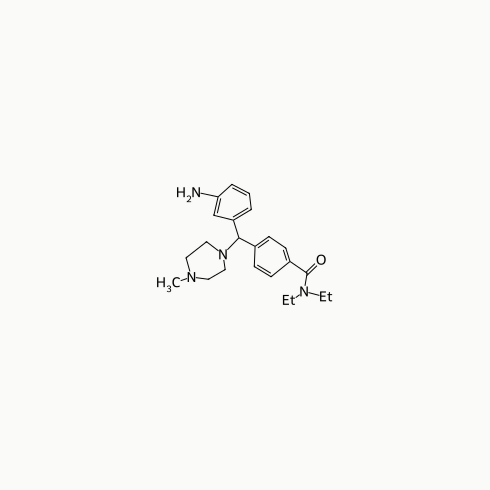 CCN(CC)C(=O)c1ccc(C(c2cccc(N)c2)N2CCN(C)CC2)cc1